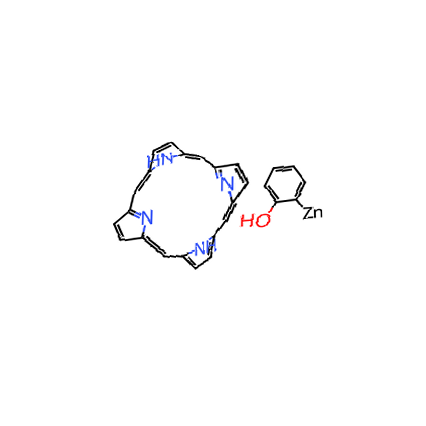 C1=Cc2cc3ccc(cc4nc(cc5ccc(cc1n2)[nH]5)C=C4)[nH]3.Oc1cccc[c]1[Zn]